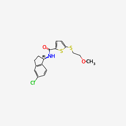 COCCSc1ccc(C(=O)N[C@@H]2CCc3cc(Cl)ccc32)s1